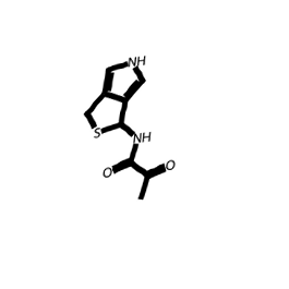 CC(=O)C(=O)NC1SCc2c[nH]cc21